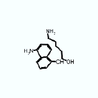 NCCCCCO.Nc1cccc2c(O)cccc12